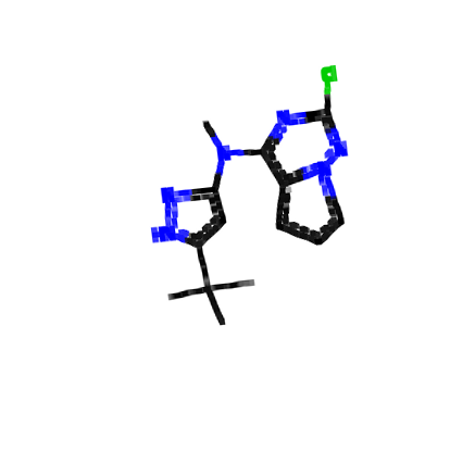 CN(c1cc(C(C)(C)C)[nH]n1)c1nc(Cl)nn2cccc12